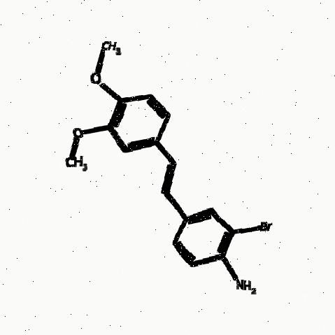 COc1ccc(/C=C/c2ccc(N)c(Br)c2)cc1OC